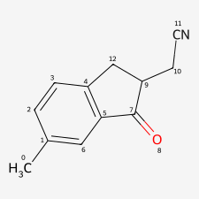 Cc1ccc2c(c1)C(=O)C(CC#N)C2